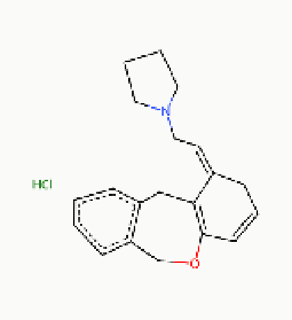 C1=CC2=C(Cc3ccccc3CO2)/C(=C\CN2CCCC2)C1.Cl